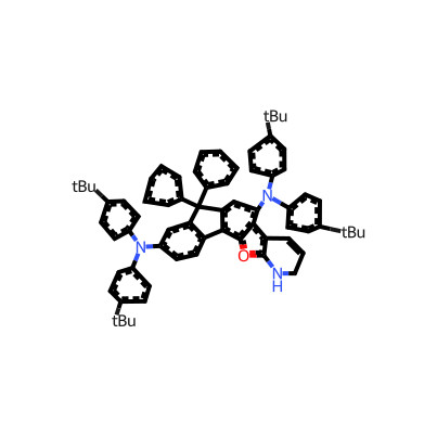 CC(C)(C)c1ccc(N(c2ccc(C(C)(C)C)cc2)c2ccc3c(c2)C(c2ccccc2)(c2ccccc2)c2cc(N(c4ccc(C(C)(C)C)cc4)c4ccc(C(C)(C)C)cc4)c4c5c(oc4c2-3)NCC=C5)cc1